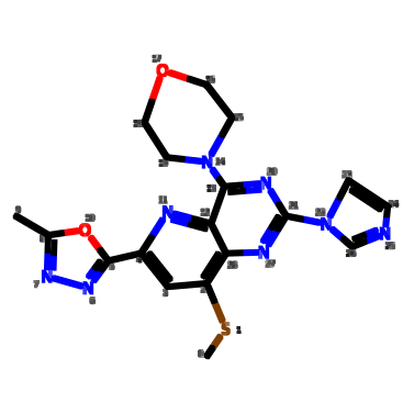 CSc1cc(-c2nnc(C)o2)nc2c(N3CCOCC3)nc(-n3ccnc3)nc12